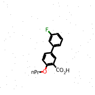 CCCOc1ccc(-c2cccc(F)c2)cc1C(=O)O